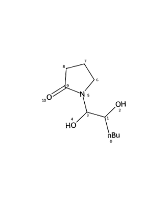 CCCCC(O)C(O)N1CCCC1=O